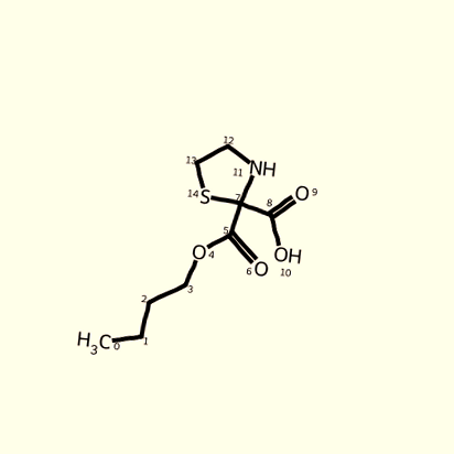 CCCCOC(=O)C1(C(=O)O)NCCS1